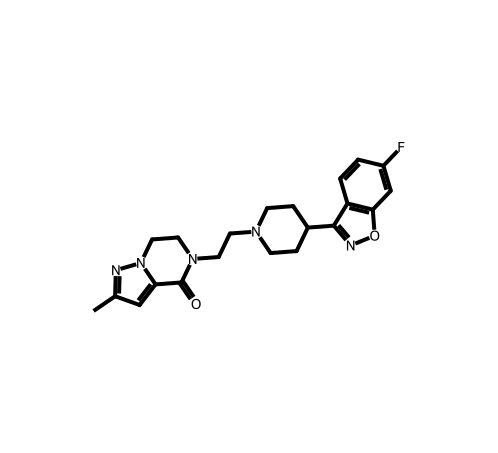 Cc1cc2n(n1)CCN(CCN1CCC(c3noc4cc(F)ccc34)CC1)C2=O